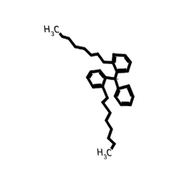 CCCCCCCCc1ccccc1[C](c1ccccc1)c1ccccc1CCCCCCCC